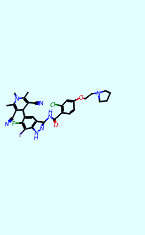 CC1=C(C#N)C(c2cc3c(NC(=O)c4ccc(OCCN5CCCC5)cc4Cl)n[nH]c3c(I)c2F)C(C#N)=C(C)N1C